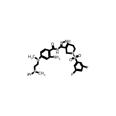 CC(C)N(C)CCN(C)c1ccc(C(=O)Nc2n[nH]c3c2CN(S(=O)(=O)c2cc(F)cc(F)c2)CC3)c(N)c1